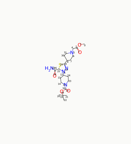 COC(=O)CN1CCC(C2=NN(C3CCN(C(=O)OC(C)(C)C)CC3)C(C(N)=O)S2)CC1